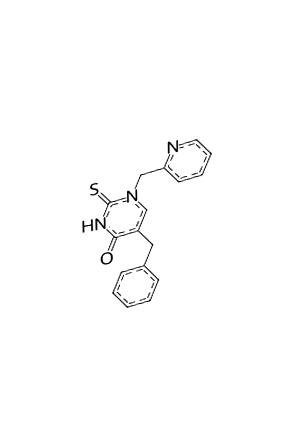 O=c1[nH]c(=S)n(Cc2ccccn2)cc1Cc1ccccc1